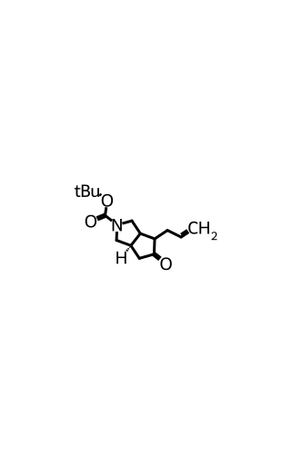 C=CCC1C(=O)C[C@H]2CN(C(=O)OC(C)(C)C)CC12